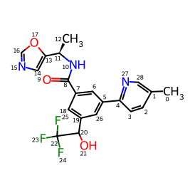 Cc1ccc(-c2cc(C(=O)N[C@H](C)c3cnco3)cc(C(O)C(F)(F)F)c2)nc1